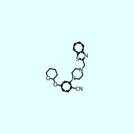 N#Cc1ccc(OC2CCCCO2)cc1N1CCN(Cc2nc3ccccc3s2)CC1